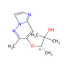 Cc1nn2ccnc2cc1O[C@@H](C)C(C)(C)O